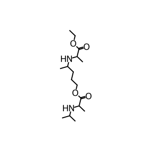 CCOC(=O)C(C)NC(C)CCCOC(=O)C(C)NC(C)C